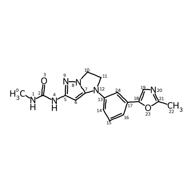 CNC(=O)Nc1cc2n(n1)CCN2c1cccc(-c2cnc(C)o2)c1